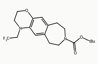 CC(C)(C)OC(=O)N1CCc2cc3c(cc2CC1)N(CC(F)(F)F)CCO3